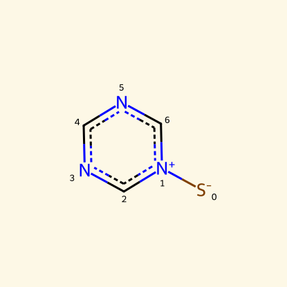 [S-][n+]1cncnc1